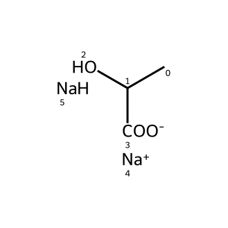 CC(O)C(=O)[O-].[Na+].[NaH]